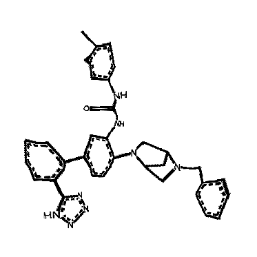 Cc1ccc(NC(=O)Nc2cc(-c3ccccc3-c3nnn[nH]3)ccc2N2CC3CC2CN3Cc2ccccc2)cc1